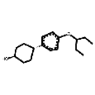 CCC(CC)Oc1ccc([C@H]2CC[C@H](O)CC2)cc1